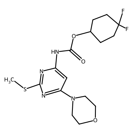 CSc1nc(NC(=O)OC2CCC(F)(F)CC2)cc(N2CCOCC2)n1